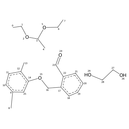 CCOC(C)OCC.Cc1ccc(C)c(OCc2ccccc2C=O)c1.OCCO